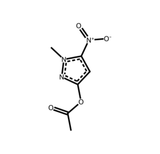 CC(=O)Oc1cc([N+](=O)[O-])n(C)n1